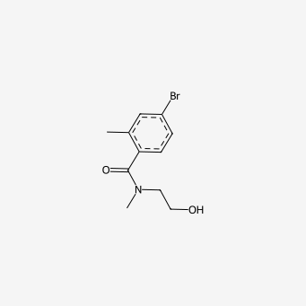 Cc1cc(Br)ccc1C(=O)N(C)CCO